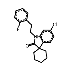 O=C(NCCc1ccccc1F)C1(c2ccc(Cl)cc2)CCCCC1